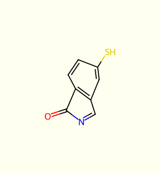 O=C1N=Cc2cc(S)ccc21